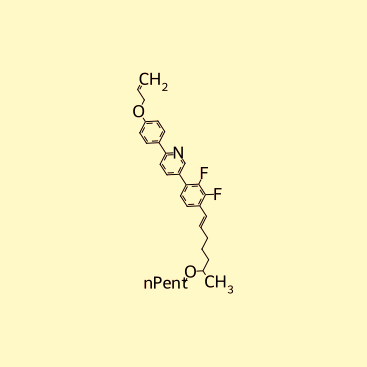 C=CCOc1ccc(-c2ccc(-c3ccc(C=CCCCC(C)OCCCCC)c(F)c3F)cn2)cc1